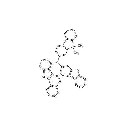 CC1(C)c2ccccc2-c2ccc(N(c3ccc4c(c3)sc3ccccc34)c3cccc4sc5c6ccccc6ccc5c34)cc21